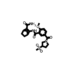 COc1ccc(C(=O)N2CCC(S(C)(=O)=O)C2)cc1C(=O)NC1C2CCC(C2)C1C(N)=O